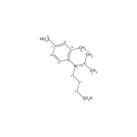 CC(C)=[N+](CCCS(=O)(=O)O)c1ccc(S(=O)(=O)O)cc1C